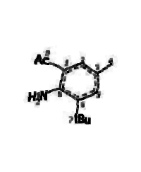 CC(=O)c1cc(C)cc(C(C)(C)C)c1N